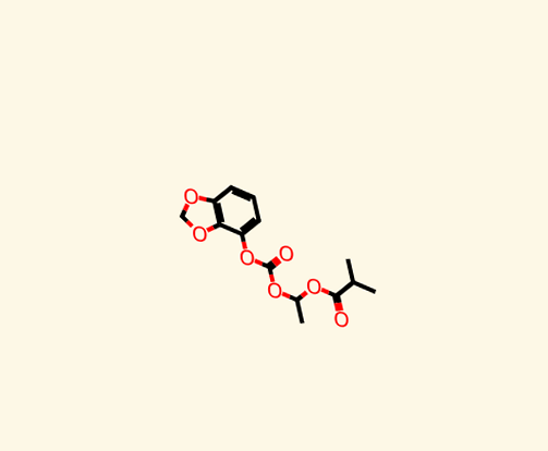 CC(OC(=O)Oc1cccc2c1OCO2)OC(=O)C(C)C